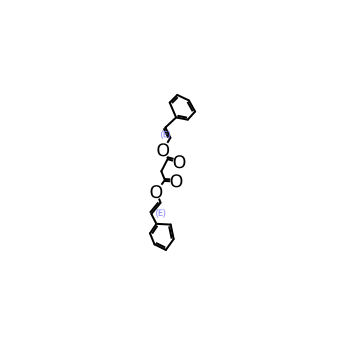 O=C(CC(=O)O/C=C/c1ccccc1)O/C=C/c1ccccc1